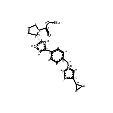 CC(C)(C)OC(=O)N1CCC[C@H]1c1nc(-c2ccc(Cn3cc(C4CC4)nn3)cc2)no1